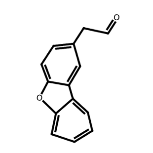 O=CCc1ccc2oc3ccccc3c2c1